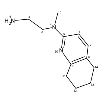 CN(CCN)c1ccc2c(n1)CCCC2